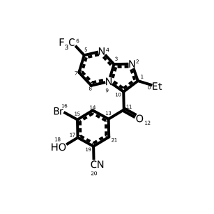 CCc1nc2nc(C(F)(F)F)ccn2c1C(=O)c1cc(Br)c(O)c(C#N)c1